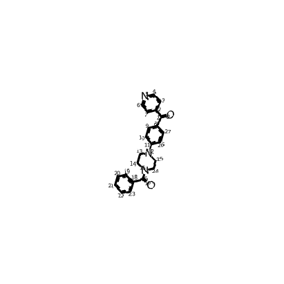 O=C(c1ccncc1)c1ccc(N2CCN(C(=O)c3ccccc3)CC2)cc1